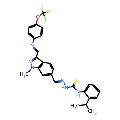 CC(C)c1ccccc1NC(=S)N/N=C/c1ccc2c(/C=N/c3ccc(OC(F)(F)F)cc3)nn(C)c2c1